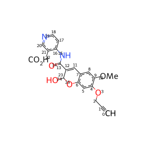 C#CCOc1cc2c(cc1OC)C=C(C(=O)Nc1ccncc1C(=O)O)C(O)O2